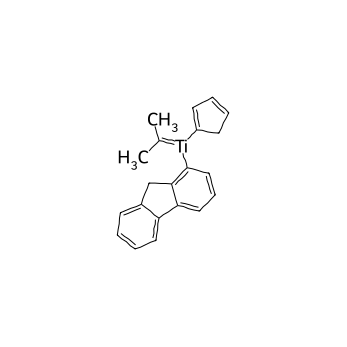 C[C](C)=[Ti]([C]1=CC=CC1)[c]1cccc2c1Cc1ccccc1-2